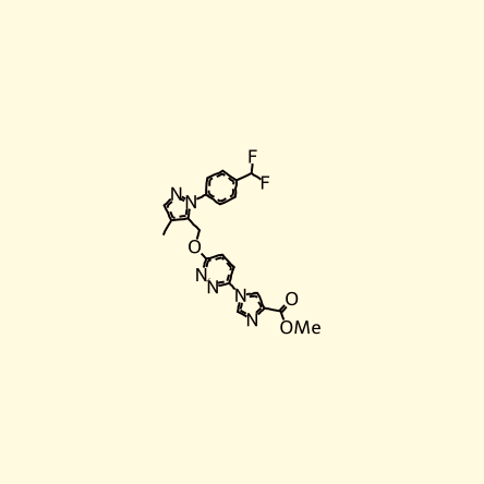 COC(=O)c1cn(-c2ccc(OCc3c(C)cnn3-c3ccc(C(F)F)cc3)nn2)cn1